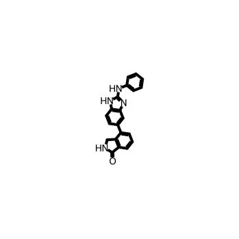 O=C1NCc2c1cccc2-c1ccc2[nH]c(Nc3ccccc3)nc2c1